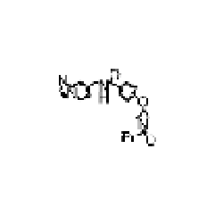 CC(C)C(=O)N1CC(Oc2ccc(C(=O)NCc3ccn4ccnc4c3)cc2)C1